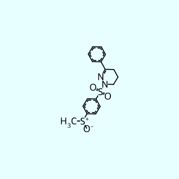 C[S+]([O-])c1ccc(S(=O)(=O)N2CCCC(c3ccccc3)=N2)cc1